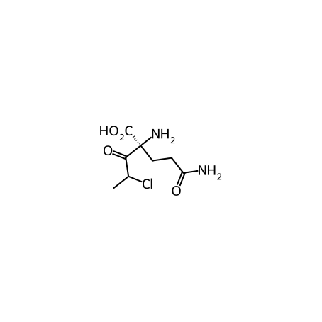 CC(Cl)C(=O)[C@@](N)(CCC(N)=O)C(=O)O